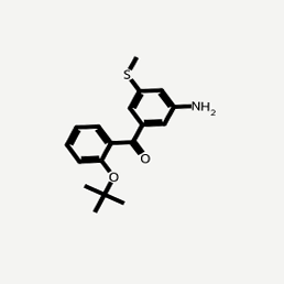 CSc1cc(N)cc(C(=O)c2ccccc2OC(C)(C)C)c1